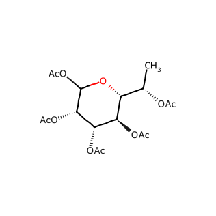 CC(=O)OC1O[C@H]([C@H](C)OC(C)=O)[C@@H](OC(C)=O)[C@H](OC(C)=O)[C@@H]1OC(C)=O